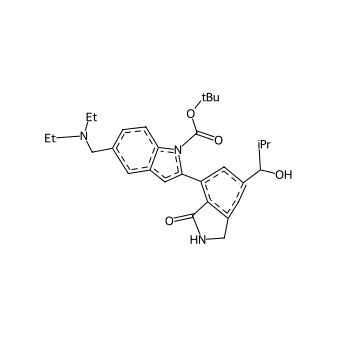 CCN(CC)Cc1ccc2c(c1)cc(-c1cc(C(O)C(C)C)cc3c1C(=O)NC3)n2C(=O)OC(C)(C)C